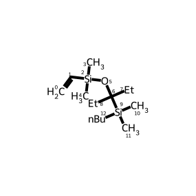 C=C[Si](C)(C)OC(CC)(CC)[Si](C)(C)CCCC